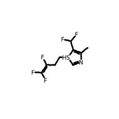 CC1=C(C(F)F)[SH](CCC(F)=C(F)F)C=N1